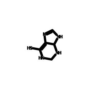 SC1=C2N=CNC2NCN1